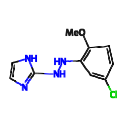 COc1ccc(Cl)cc1NNc1ncc[nH]1